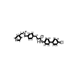 CN(Cc1ccncc1)Cc1ccc(CCC(=O)Nc2ccc(-c3ccc(Cl)cc3)cc2)cc1